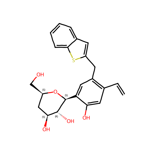 C=Cc1cc(O)c([C@@H]2O[C@H](CO)C[C@H](O)[C@H]2O)cc1Cc1cc2ccccc2s1